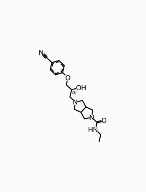 CCNC(=O)N1CC2CN(C[C@H](O)COc3ccc(C#N)cc3)CC2C1